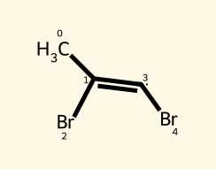 C/C(Br)=[C]/Br